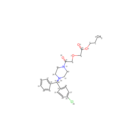 CCCOC(=O)COCC(=O)N1CCN([C@H](c2ccccc2)c2ccc(Cl)cc2)CC1